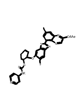 COc1cnc2c(-c3nc4cc(F)c(OC5CCCCC5OC(=O)Nc5ccncc5)cc4s3)cc(C)cc2n1